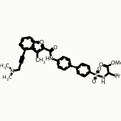 COC(=O)C(NS(=O)(=O)c1ccc(-c2ccc(NC(=O)c3oc4cccc(C#CCN(C)C)c4c3C)cc2)cc1)C(C)C